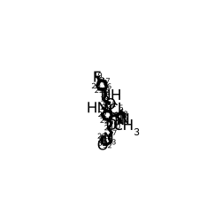 Cn1ncc(Cl)c1-c1cc(NC(=O)CNc2ccc(F)cc2)ccc1OCCN1CCOCC1